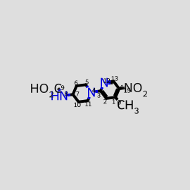 Cc1cc(N2CCC(NC(=O)O)CC2)ncc1[N+](=O)[O-]